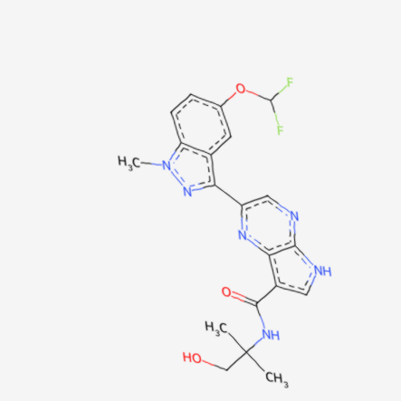 Cn1nc(-c2cnc3[nH]cc(C(=O)NC(C)(C)CO)c3n2)c2cc(OC(F)F)ccc21